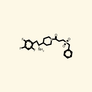 N[C@H](Cc1cc(F)c(F)cc1F)C1CCN(C(=O)CCS(=O)(=O)Cc2ccccc2)CC1